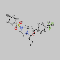 CCCCN1CCN(S(=O)(=O)c2ccc(C)cc2)CC1CC(=O)c1ccc(C(F)(F)F)cc1